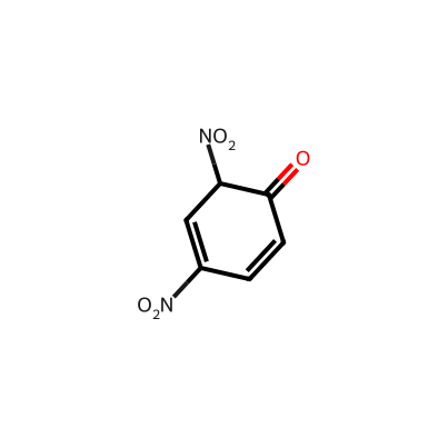 O=C1C=CC([N+](=O)[O-])=CC1[N+](=O)[O-]